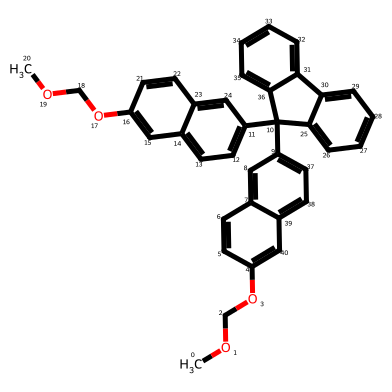 COCOc1ccc2cc(C3(c4ccc5cc(OCOC)ccc5c4)c4ccccc4-c4ccccc43)ccc2c1